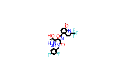 COc1ccc(-c2nc(C(=O)NCc3ccc(F)cc3F)c([C@@H](N)[C@@H](C)O)o2)c2ccc(C(F)(F)F)nc12